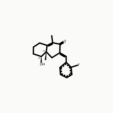 CC1=C2CCC[C@H](O)[C@@]2(C)CC(=Cc2ccccc2F)C1=O